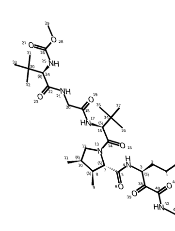 CCC[C@H](NC(=O)[C@@H]1[C@@H](C)[C@@H](C)CN1C(=O)[C@@H](NC(=O)CNC(=O)[C@H](NC(=O)OC)C(C)(C)C)C(C)(C)C)C(=O)C(=O)NC1CC1